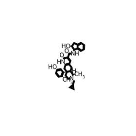 Cc1ccc(O)cc1[C@]12CCN(CC3CC3)[C@H](C)[C@@H]1Cc1cc(C(=O)NC3c4ccccc4C[C@@H]3O)c(=O)[nH]c1C2